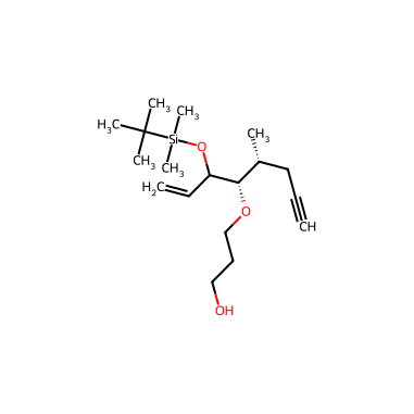 C#CC[C@@H](C)[C@H](OCCCO)C(C=C)O[Si](C)(C)C(C)(C)C